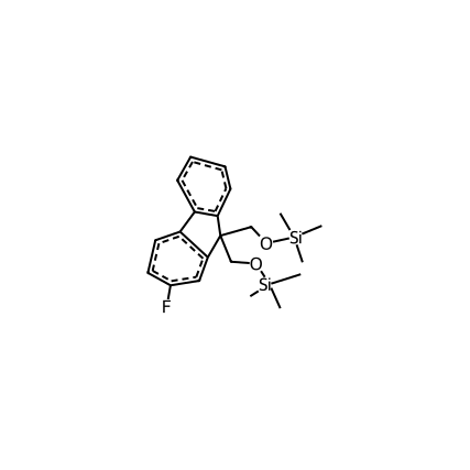 C[Si](C)(C)OCC1(CO[Si](C)(C)C)c2ccccc2-c2ccc(F)cc21